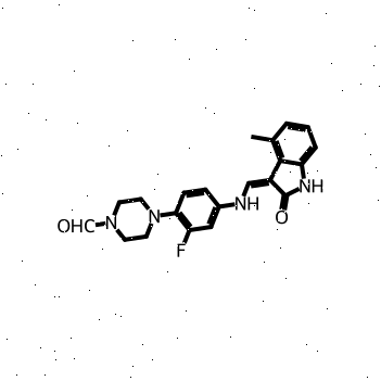 Cc1cccc2c1C(=CNc1ccc(N3CCN(C=O)CC3)c(F)c1)C(=O)N2